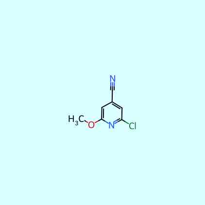 COc1cc(C#N)cc(Cl)n1